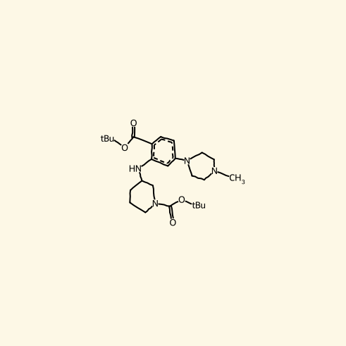 CN1CCN(c2ccc(C(=O)OC(C)(C)C)c(NC3CCCN(C(=O)OC(C)(C)C)C3)c2)CC1